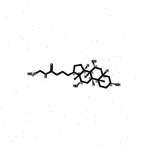 C[C@]12CC[C@@H](O)C[C@H]1C[C@@H](O)[C@@H]1[C@@H]2C[C@H](O)[C@]2(C)[C@@H](CCCC(=O)NCC(=O)O)CC[C@@H]12